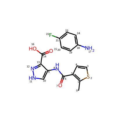 Cc1sccc1C(=O)Nc1c[nH]nc1C(=O)O.Nc1ccc(F)cc1